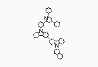 c1ccc(-c2cc(-c3ccccc3)nc(-c3cccc(-n4c5ccccc5c5cc(-c6ccc7c(c6)c6ccccc6n7-c6ccc7ccccc7c6)ccc54)c3)c2)cc1